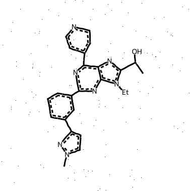 CCn1c(C(C)O)nc2c(-c3ccncc3)nc(-c3cccc(-c4ccn(C)n4)c3)nc21